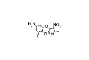 Cc1nsc(Oc2cc(N)cc(F)c2Cl)c1[N+](=O)[O-]